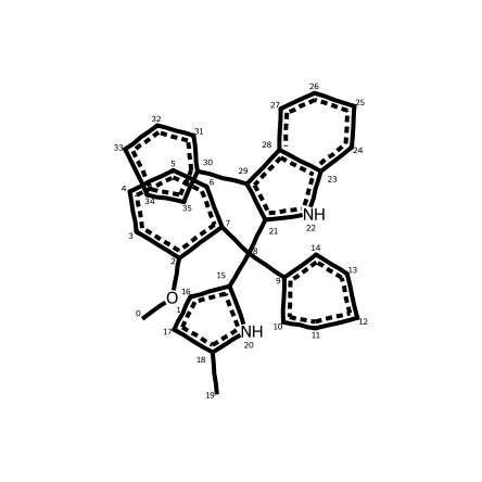 COc1ccccc1C(c1ccccc1)(c1ccc(C)[nH]1)c1[nH]c2ccccc2c1-c1ccccc1